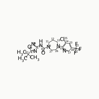 CC(C)(C)c1nc(NC(=O)N2CCCN(c3ncc(C(F)(F)F)cc3Cl)CC2)no1